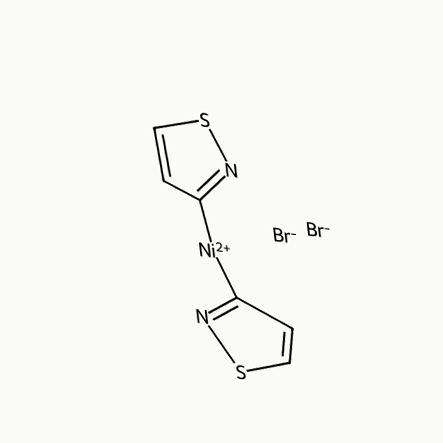 [Br-].[Br-].c1c[c]([Ni+2][c]2ccsn2)ns1